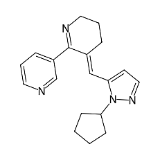 C(=C1CCCN=C1c1cccnc1)c1ccnn1C1CCCC1